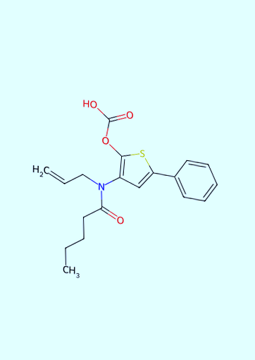 C=CCN(C(=O)CCCC)c1cc(-c2ccccc2)sc1OC(=O)O